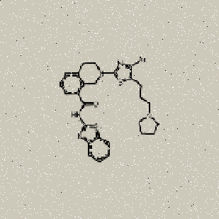 CC(=O)c1nc(N2CCc3cccc(C(=O)Nc4nc5ccccc5s4)c3C2)sc1CCCN1CCCC1